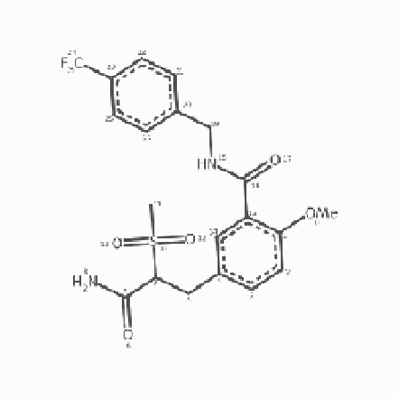 COc1ccc(CC(C(N)=O)S(C)(=O)=O)cc1C(=O)NCc1ccc(C(F)(F)F)cc1